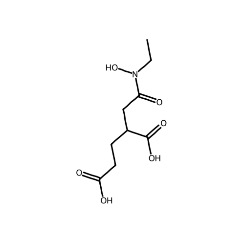 CCN(O)C(=O)CC(CCC(=O)O)C(=O)O